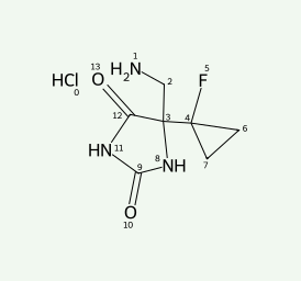 Cl.NCC1(C2(F)CC2)NC(=O)NC1=O